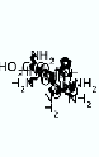 NCC[C@H](NC(=O)[C@H](CCN)NC(=O)[C@H](Cc1c[nH]c2ccccc12)NC(=O)[C@H](CCN)NC(=O)[C@H](CCN)NC(=O)CN)C(=O)O